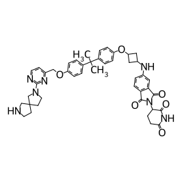 CC(C)(c1ccc(OCc2ccnc(N3CCC4(CCNC4)C3)n2)cc1)c1ccc(OC2CC(Nc3ccc4c(c3)C(=O)N(C3CCC(=O)NC3=O)C4=O)C2)cc1